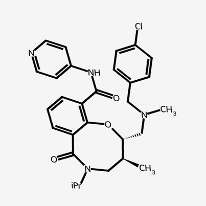 CC(C)N1C[C@H](C)[C@@H](CN(C)Cc2ccc(Cl)cc2)Oc2c(C(=O)Nc3ccncc3)cccc2C1=O